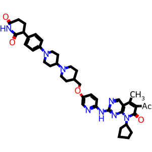 CC(=O)c1c(C)c2cnc(Nc3ccc(OCC4CCN(C5CCN(c6ccc(C7CCC(=O)NC7=O)cc6)CC5)CC4)cn3)nc2n(C2CCCC2)c1=O